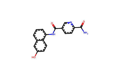 NC(=O)c1ccc(C(=O)Nc2cccc3cc(O)ccc23)cn1